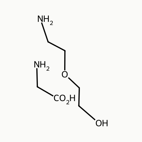 NCC(=O)O.NCCOCCO